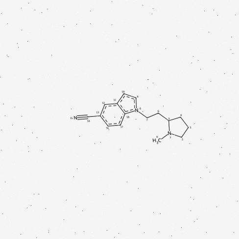 CN1CCCC1CCn1ccc2cc(C#N)ccc21